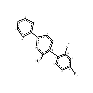 Cc1nc(-c2ccccn2)ccc1-c1ccc(F)cc1Cl